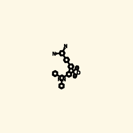 N#Cc1cc(C#N)cc(-c2ccc(-c3ccc4c(c3)-c3cc(-c5cc(-c6ccccc6)nc(-c6ccccc6)n5)ccc3C43c4ccccc4Oc4ccccc43)cc2)c1